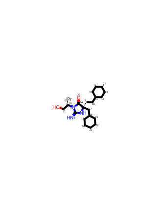 CC(C)[C@@H](CO)N1C(=N)N[C@](CCC2CCCCC2)(CC2CCCCC2)C1=O